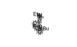 CCn1cc(OC[C@@]2(c3cccc(F)c3)C[C@H]2CO[Si](c2ccccc2)(c2ccccc2)C(C)(C)C)c(C)n1